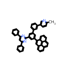 Cc1ccc(-c2cccc(-c3cc(-c4nc(-c5ccccc5)cc(-c5ccccc5)n4)cc(-c4cc5cccc6ccc7cccc4c7c65)c3)c2)cn1